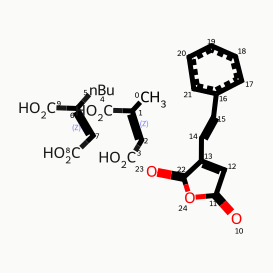 C/C(=C/C(=O)O)C(=O)O.CCCC/C(=C/C(=O)O)C(=O)O.O=C1C=C(C=Cc2ccccc2)C(=O)O1